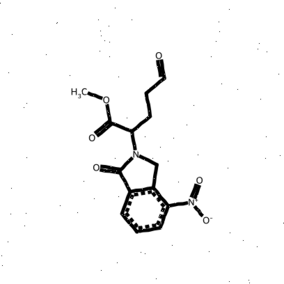 COC(=O)C(CCC=O)N1Cc2c(cccc2[N+](=O)[O-])C1=O